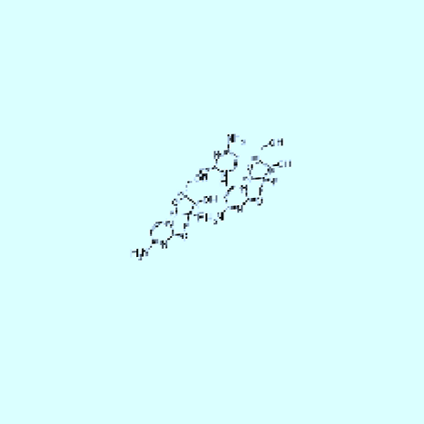 Nc1cc[nH]c(=O)n1.Nc1ccn([C@@H]2O[C@H](CO)[C@@H](O)C2(F)F)c(=O)n1.Nc1ccn([C@@H]2O[C@H](CO)[C@@H](O)C2(F)F)c(=O)n1